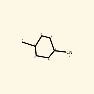 CC1CCC(C#N)CC1